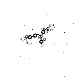 CCCC(Nc1ccc(-n2cc(-c3ccc(Cl)cc3Cl)nc2Cc2ccc(-c3ccc(C(C)(C)C)cc3)cc2)cc1)C(=O)O